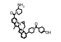 Cc1c(-c2cc3cccc(C4CCN(C(=O)C5CC=C(O)CC5)CC4)c3n2CC2CC2)nn2cc(C(=O)N3CCCC(N)C3)ccc12